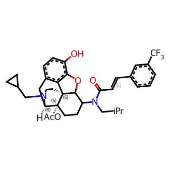 CC(=O)O[C@@]12CCC(N(CC(C)C)C(=O)/C=C/c3cccc(C(F)(F)F)c3)C3Oc4c(O)ccc5c4[C@@]31CCN(CC1CC1)[C@@H]2C5